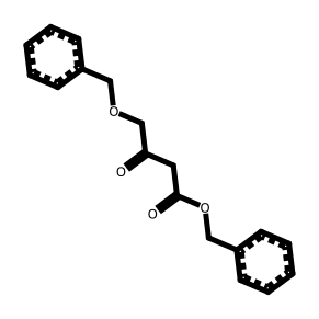 O=C(COCc1ccccc1)CC(=O)OCc1ccccc1